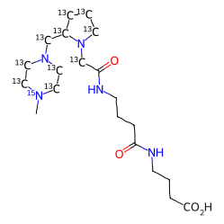 C[15N]1[13CH2][13CH2]N([13CH2][13CH]2[13CH2][13CH2][13CH2]N2[13CH2]C(=O)NCCCC(=O)NCCCC(=O)O)[13CH2][13CH2]1